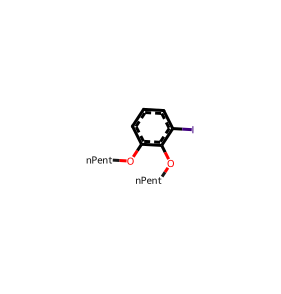 CCCCCOc1cccc(I)c1OCCCCC